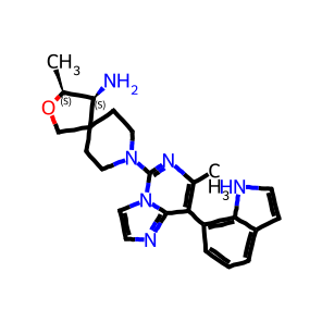 Cc1nc(N2CCC3(CC2)CO[C@@H](C)[C@H]3N)n2ccnc2c1-c1cccc2cc[nH]c12